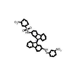 O=[N+]([O-])c1cccc(SNc2ccc3c(c2)/C(=C2\c4ccccc4-c4ccc(NS(=O)(=O)c5cccc([N+](=O)[O-])c5)cc42)c2ccccc2-3)c1